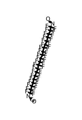 O=C=NC(F)(F)C(F)(F)C(F)(F)C(F)(F)C(F)(F)C(F)(F)C(F)(F)C(F)(F)C(F)(F)C(F)(F)C(F)(F)C(F)(F)C(F)(F)C(F)(F)C(F)(F)C(F)(F)C(F)(F)C(F)(F)C(F)(F)C(F)(F)N=C=O